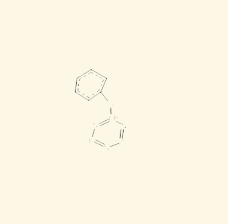 c1ccc(O[PH]2=NP=NP=N2)cc1